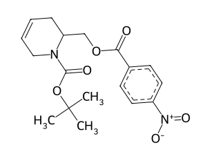 CC(C)(C)OC(=O)N1CC=CCC1COC(=O)c1ccc([N+](=O)[O-])cc1